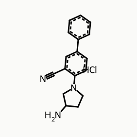 Cl.N#Cc1cc(-c2ccccc2)ccc1N1CCC(N)C1